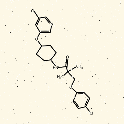 CC(C)(COc1ccc(Cl)cc1)C(=O)NC1CCC(Oc2cncc(Cl)c2)CC1